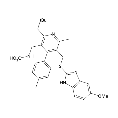 COc1ccc2[nH]c(SCc3c(C)nc(CC(C)(C)C)c(CNC(=O)O)c3-c3ccc(C)cc3)nc2c1